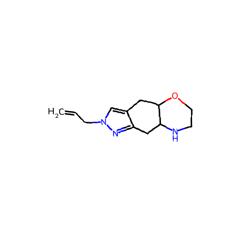 C=CCn1cc2c(n1)CC1NCCOC1C2